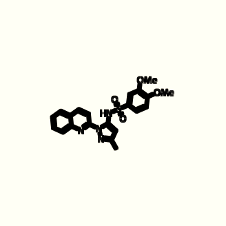 COc1ccc(S(=O)(=O)Nc2cc(C)nn2-c2ccc3ccccc3n2)cc1OC